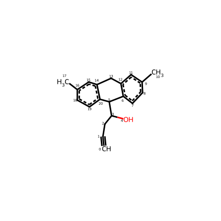 C#CCC(O)C1c2ccc(C)cc2Cc2cc(C)ccc21